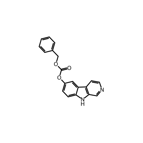 O=C(OCc1ccccc1)Oc1ccc2[nH]c3cnccc3c2c1